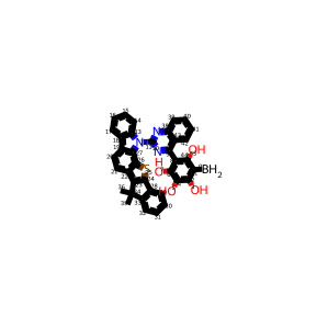 Bc1c(O)c(O)c(O)c(-c2nc(-n3c4ccccc4c4ccc5c6c(sc5c43)-c3ccccc3C6(C)C)nc3ccccc23)c1O